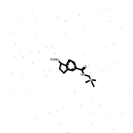 CC(=O)NC1CCc2cc(C(=S)NC[Si](C)(C)C)ccc21